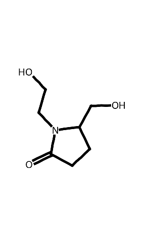 O=C1CCC(CO)N1CCO